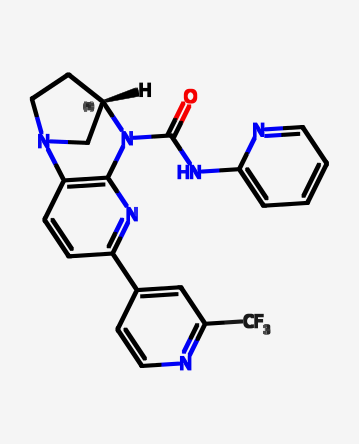 O=C(Nc1ccccn1)N1c2nc(-c3ccnc(C(F)(F)F)c3)ccc2N2CC[C@H]1C2